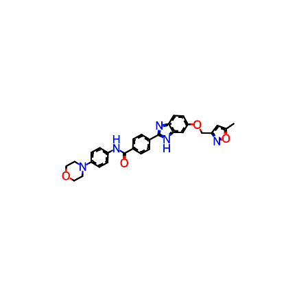 Cc1cc(COc2ccc3nc(-c4ccc(C(=O)Nc5ccc(N6CCOCC6)cc5)cc4)[nH]c3c2)no1